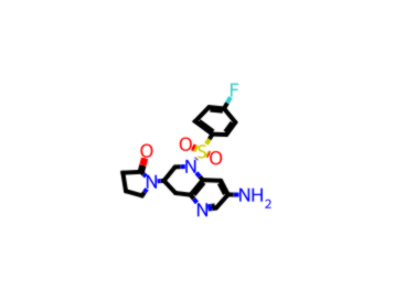 Nc1cnc2c(c1)N(S(=O)(=O)c1ccc(F)cc1)CC(N1CCCC1=O)C2